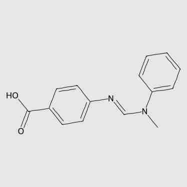 CN(C=Nc1ccc(C(=O)O)cc1)c1ccccc1